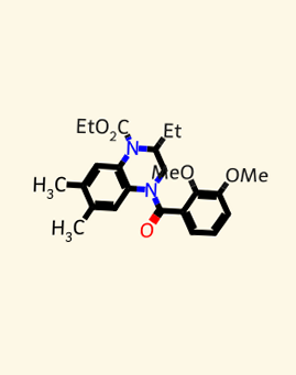 CCOC(=O)N1c2cc(C)c(C)cc2N(C(=O)c2cccc(OC)c2OC)CC1CC